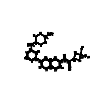 CC(C)N1CCC(Nc2cncc(-c3ccc4cnc(NC(=O)C5CC(F)(F)C5)cc4c3)n2)CC1